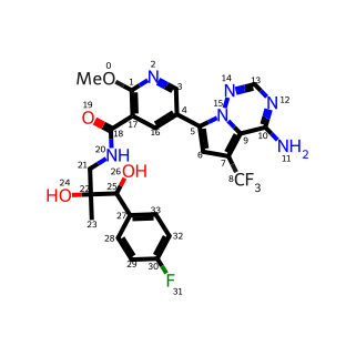 COc1ncc(-c2cc(C(F)(F)F)c3c(N)ncnn23)cc1C(=O)NCC(C)(O)C(O)c1ccc(F)cc1